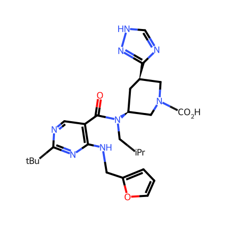 CC(C)CN(C(=O)c1cnc(C(C)(C)C)nc1NCc1ccco1)[C@H]1C[C@@H](c2nc[nH]n2)CN(C(=O)O)C1